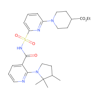 CCOC(=O)C1CCN(c2cccc(S(=O)(=O)NC(=O)c3cccnc3N3CCC(C)C3(C)C)n2)CC1